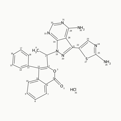 CC(c1oc(=O)c2ccccc2c1-c1ccccc1)n1nc(-c2cnc(N)s2)c2c(N)ncnc21.Cl